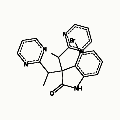 CC(c1ncccn1)C1(C(C)c2ncccn2)C(=O)Nc2cccc(Br)c21